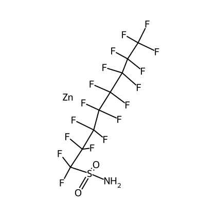 NS(=O)(=O)C(F)(F)C(F)(F)C(F)(F)C(F)(F)C(F)(F)C(F)(F)C(F)(F)C(F)(F)F.[Zn]